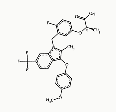 COc1ccc(Oc2c(C)n(Cc3cc(O[C@H](C)C(=O)O)ccc3F)c3cc(C(F)(F)F)ccc23)cc1